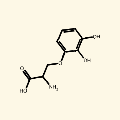 NC(COc1cccc(O)c1O)C(=O)O